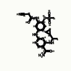 CC(Nc1nc(Nc2ccc(OS(C)(=O)=O)c(NC(=O)CC#N)c2)ncc1C(N)=O)C1CC1